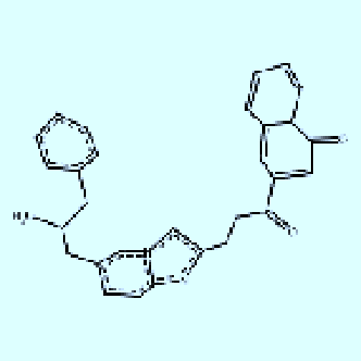 CC(Cc1ccccc1)Cc1ccc2nc(CCC(=O)C3=CC(=O)C4C=CC=CC4=C3)cn2c1